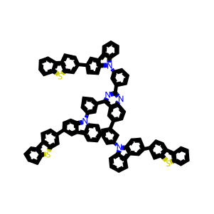 c1cc(-c2ccc3nc(-c4cccc(-n5c6ccccc6c6cc(-c7ccc8c(c7)sc7ccccc78)ccc65)c4)nc(-c4cccc(-n5c6ccccc6c6cc(-c7ccc8c(c7)sc7ccccc78)ccc65)c4)c3c2)cc(-n2c3ccccc3c3cc(-c4ccc5c(c4)sc4ccccc45)ccc32)c1